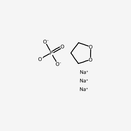 C1COOC1.O=P([O-])([O-])[O-].[Na+].[Na+].[Na+]